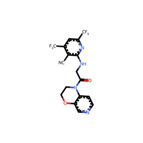 N#Cc1c(C(F)(F)F)cc(C(F)(F)F)nc1NCC(=O)N1CCOc2cnccc21